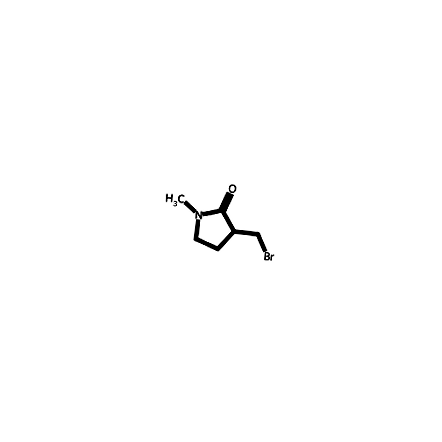 CN1CCC(CBr)C1=O